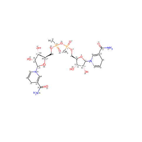 CP(=O)(OC[C@H]1OC(N2C=CCC(C(N)=O)=C2)[C@H](O)[C@@H]1O)OP(C)(=O)OC[C@H]1OC(N2C=CCC(C(N)=O)=C2)[C@H](O)[C@@H]1O